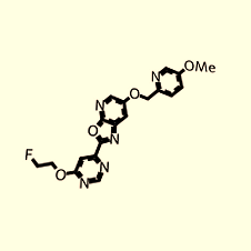 COc1ccc(COc2cnc3oc(-c4cc(OCCF)ncn4)nc3c2)nc1